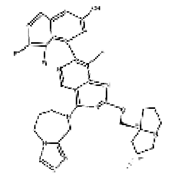 CCc1c(F)ccc2cc(O)cc(-c3ncc4c(N5CCCn6cnnc6C5)nc(OC[C@@]56CCCN5C[C@H](F)C6)nc4c3F)c12